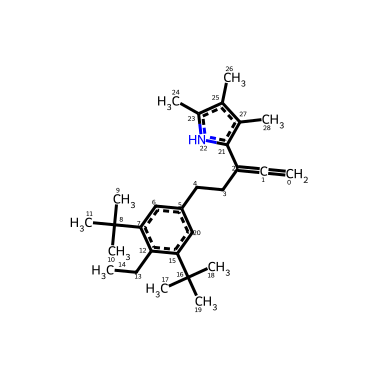 C=C=C(CCc1cc(C(C)(C)C)c(CC)c(C(C)(C)C)c1)c1[nH]c(C)c(C)c1C